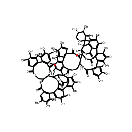 O=C1OC[C@@H]2OC(=O)c3cc(O)c(O)c(O)c3-c3c(O)c(O)c(O)c4c3C(=O)O[C@@H](C3OC(=O)c5c-4c(O)c(O)c(O)c5[C@H]3c3c(O)c(O)c(O)c4c3C(=O)OC[C@@H]3OC(=O)c5cc(O)c(O)c(O)c5-c5c(O)c(O)c(O)c6c5C(=O)O[C@H]([C@H]3OC(=O)c3cc(O)c(O)c(O)c3-4)[C@H]3OC(=O)c4c-6c(O)c(O)c(O)c4[C@@H]3C3(O)OC[C@H](O)[C@@H](O)[C@H]3O)[C@H]2OC(=O)c2cc(O)c(O)c(O)c2-c2c1cc(O)c(O)c2O